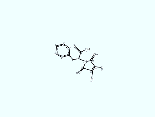 O=C(O)[C@H](Cc1ccccc1)N1C(=O)C(Cl)=C(Cl)C1=O